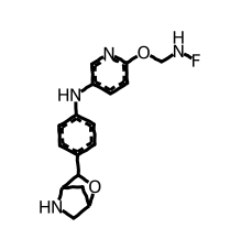 FNCOc1ccc(Nc2ccc(C3OC4CNC3C4)cc2)cn1